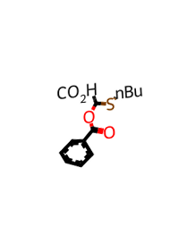 CCCCSC(OC(=O)c1ccccc1)C(=O)O